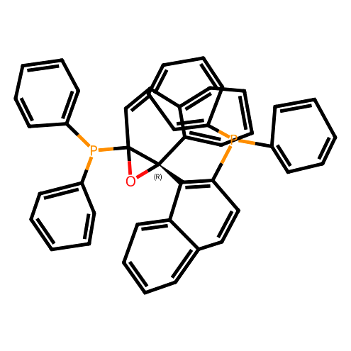 C1=CC2(P(c3ccccc3)c3ccccc3)O[C@@]2(c2c(P(c3ccccc3)c3ccccc3)ccc3ccccc23)c2ccccc21